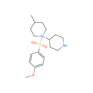 COc1ccc(S(=O)(=O)[N+]2(C3CCNCC3)CCC(C)CC2)cc1